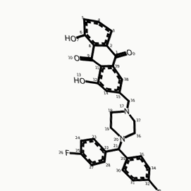 O=C1c2cccc(O)c2C(=O)c2c(O)cc(CN3CCN(C(c4ccc(F)cc4)c4ccc(F)cc4)CC3)cc21